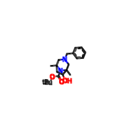 CC(C)(C)OC(=O)N1C2(C)CC(O)C1(C)CN(Cc1ccccc1)C2